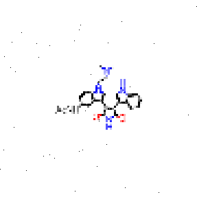 CC(=O)Nc1ccc2c(c1)c(C1=C(c3c[nH]c4ccccc34)C(=O)NC1=O)cn2CCN(C)C